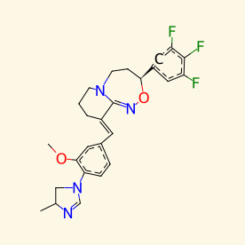 COc1cc(/C=C2\CCCN3CC[C@@H](c4cc(F)c(F)c(F)c4)ON=C23)ccc1N1C=NC(C)C1